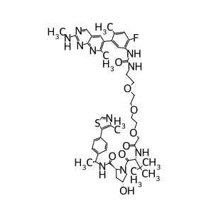 CNc1ncc2cc(-c3cc(NC(=O)NCCOCCOCCOCC(=O)N[C@@H](C(=O)N4C[C@H](O)C[C@H]4C(=O)N[C@@H](C)c4ccc(-c5scnc5C)cc4)C(C)(C)C)c(F)cc3C)c(C)nc2n1